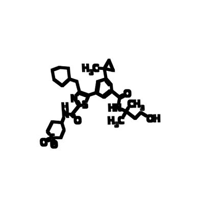 CC(C)(CCO)NC(=O)c1cc(-c2sc(C(=O)NC3CCS(=O)(=O)CC3)nc2CC2CCCCC2)cc(C2(C)CC2)c1